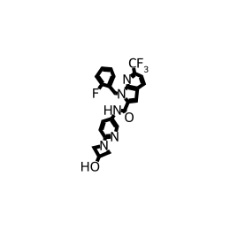 O=C(Nc1ccc(N2CC(O)C2)nc1)c1cc2ccc(C(F)(F)F)nc2n1Cc1ccccc1F